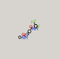 O=C(CN1CC2(CCC(C(=O)Nc3cc(F)cc(C(F)F)c3)CC2)C1)NC1CCCC1